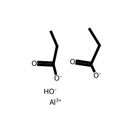 CCC(=O)[O-].CCC(=O)[O-].[Al+3].[OH-]